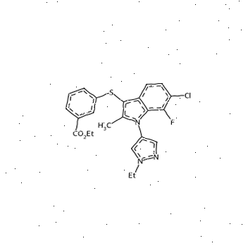 CCOC(=O)c1cccc(Sc2c(C)n(-c3cnn(CC)c3)c3c(F)c(Cl)ccc23)c1